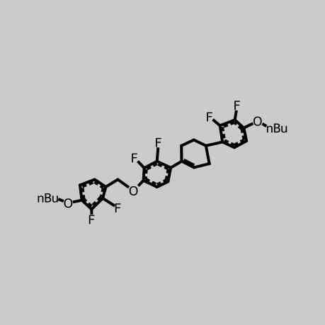 CCCCOc1ccc(COc2ccc(C3=CCC(c4ccc(OCCCC)c(F)c4F)CC3)c(F)c2F)c(F)c1F